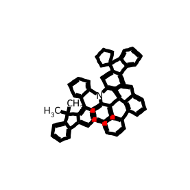 CC1(C)c2ccccc2-c2cccc(-c3ccccc3N(c3ccc4c(c3)C3(CCCC3)c3ccccc3-4)c3ccccc3-c3cccc4cccc(-c5ccccc5)c34)c21